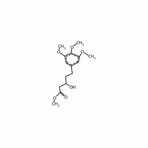 COC(=O)CC(O)CCc1cc(OC)c(OC)c(OC)c1